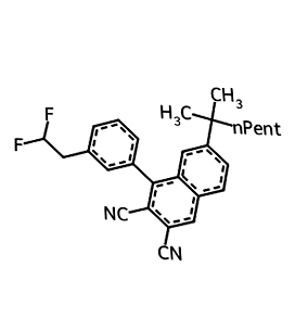 CCCCCC(C)(C)c1ccc2cc(C#N)c(C#N)c(-c3cccc(CC(F)F)c3)c2c1